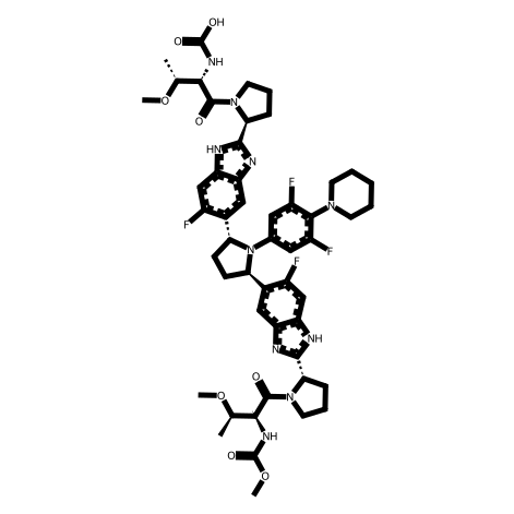 COC(=O)N[C@H](C(=O)N1CCC[C@H]1c1nc2cc([C@H]3CC[C@H](c4cc5nc([C@@H]6CCCN6C(=O)[C@@H](NC(=O)O)[C@@H](C)OC)[nH]c5cc4F)N3c3cc(F)c(N4CCCCC4)c(F)c3)c(F)cc2[nH]1)[C@@H](C)OC